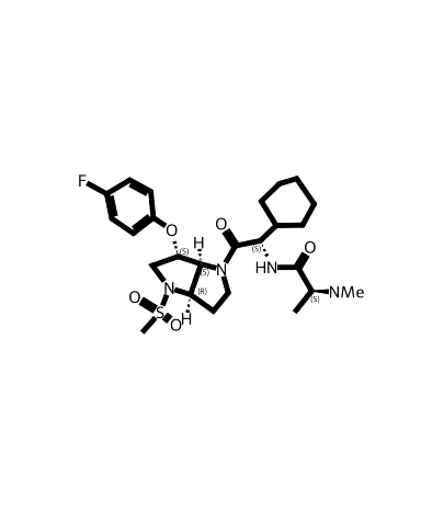 CN[C@@H](C)C(=O)N[C@H](C(=O)N1CC[C@@H]2[C@H]1[C@@H](Oc1ccc(F)cc1)CN2S(C)(=O)=O)C1CCCCC1